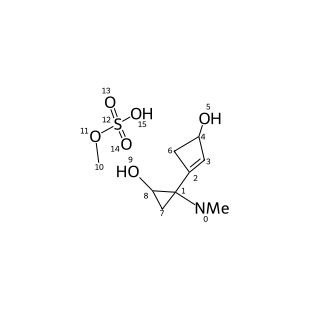 CNC1(C2=CC(O)C2)CC1O.COS(=O)(=O)O